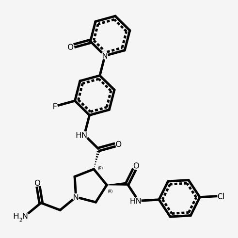 NC(=O)CN1C[C@H](C(=O)Nc2ccc(Cl)cc2)[C@@H](C(=O)Nc2ccc(-n3ccccc3=O)cc2F)C1